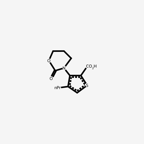 CCCc1csc(C(=O)O)c1N1CCCOC1=O